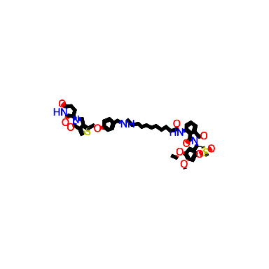 CCOc1cc([C@@H](CS(C)(=O)=O)N2C(=O)c3cccc(NC(=O)CCCCCCCCCCNCc4ccc(OCc5scc6c5CN(C5CCC(=O)NC5=O)C6=O)cc4)c3C2=O)ccc1OC